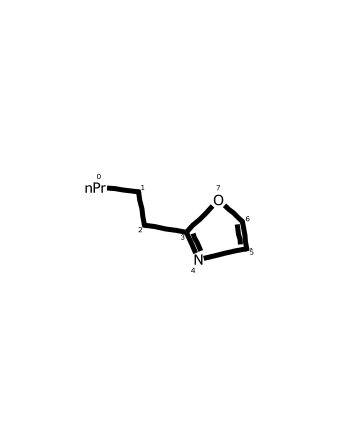 CCCCCc1n[c]co1